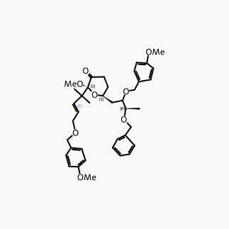 COc1ccc(COC/C=C/C(C)(C)[C@]2(OC)O[C@H](CC(OCc3ccc(OC)cc3)[C@@H](C)OCc3ccccc3)CCC2=O)cc1